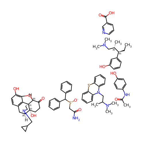 CC(=O)Nc1ccc(O)cc1.CC(CN1c2ccccc2Sc2ccccc21)N(C)C.CC[C@@H](c1cccc(O)c1)[C@@H](C)CN(C)C.NC(=O)C[S+]([O-])C(c1ccccc1)c1ccccc1.O=C(O)c1cccnc1.O=C1CC[C@@]2(O)[C@H]3Cc4ccc(O)c5c4[C@@]2(CCN3CC2CC2)[C@H]1O5